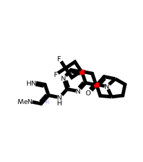 CN/C=C(\C=N)Nc1nccc(C2=CC3CCC(C2)N3C(=O)CC2CC(F)(F)C2)n1